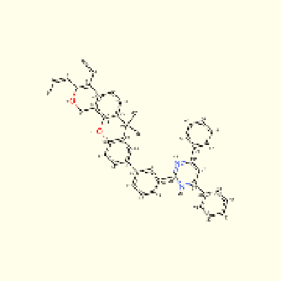 C=CC1=C(/C=C\C)OCc2c1ccc1c2Oc2ccc(-c3cccc(-c4nc(-c5ccccc5)cc(-c5ccccc5)n4)c3)cc2C1(C)C